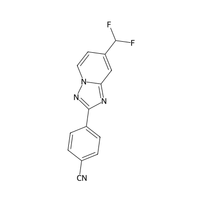 N#Cc1ccc(-c2nc3cc(C(F)F)ccn3n2)cc1